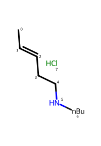 CC=CCCNCCCC.Cl